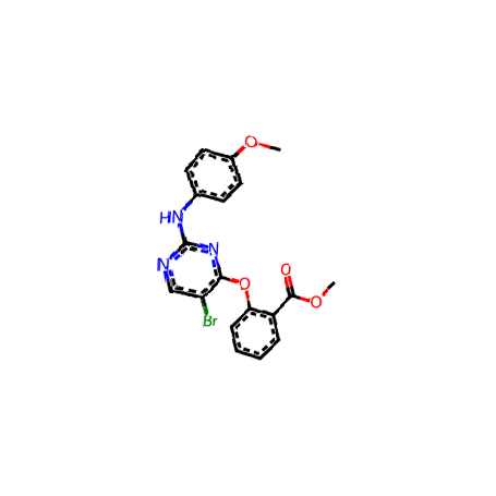 COC(=O)c1ccccc1Oc1nc(Nc2ccc(OC)cc2)ncc1Br